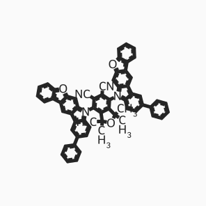 CC1(C)OC(C)(C)c2c(-n3c4ccc(-c5ccccc5)cc4c4cc5c(cc43)oc3ccccc35)c(C#N)c(C#N)c(-n3c4ccc(-c5ccccc5)cc4c4cc5c(cc43)oc3ccccc35)c21